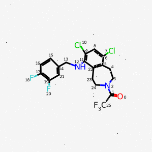 O=C(N1CCc2c(Cl)cc(Cl)c(NCc3ccc(F)c(F)c3)c2CC1)C(F)(F)F